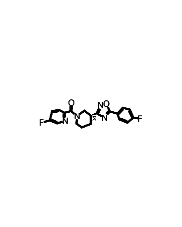 O=C(c1ccc(F)cn1)N1CCC[C@H](c2noc(-c3ccc(F)cc3)n2)C1